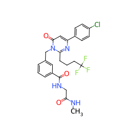 CNC(=O)CNC(=O)c1cccc(Cn2c(CCCC(F)(F)F)nc(-c3ccc(Cl)cc3)cc2=O)c1